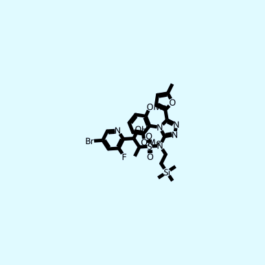 COc1cccc(OC)c1-n1c(-c2ccc(C)o2)nnc1N(CC[Si](C)(C)C)S(=O)(=O)C(C)C(O)c1ncc(Br)cc1F